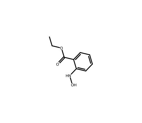 CCOC(=O)c1ccccc1NO